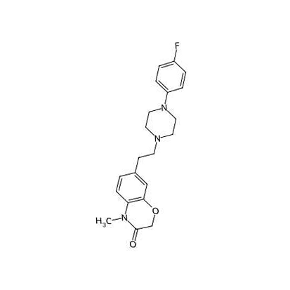 CN1C(=O)COc2cc(CCN3CCN(c4ccc(F)cc4)CC3)ccc21